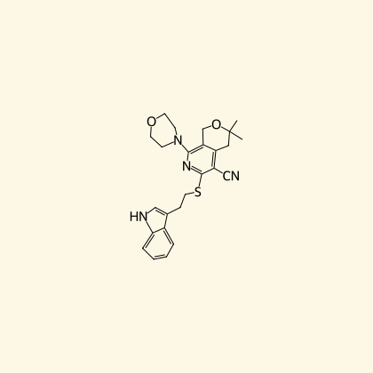 CC1(C)Cc2c(C#N)c(SCCc3c[nH]c4ccccc34)nc(N3CCOCC3)c2CO1